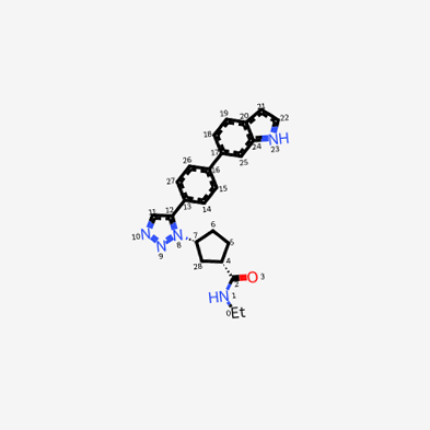 CCNC(=O)[C@H]1CC[C@@H](n2nncc2-c2ccc(-c3ccc4cc[nH]c4c3)cc2)C1